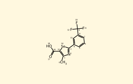 Cc1nc(-c2cccc(C(F)(F)F)c2)[se]c1C(=O)O